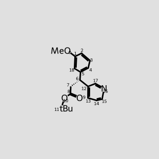 COc1cccc([C@@H](CC(=O)OC(C)(C)C)c2cccnc2)c1